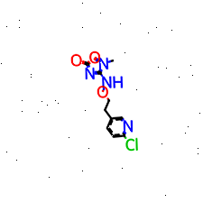 Cn1oc(=O)nc1NOCCc1ccc(Cl)nc1